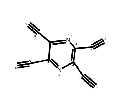 C#Cc1nc(C#C)c(C#C)nc1C#C